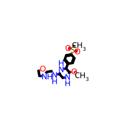 COC1NCC(NCC2NCCO2)NC1c1ccc(S(C)(=O)=O)cc1